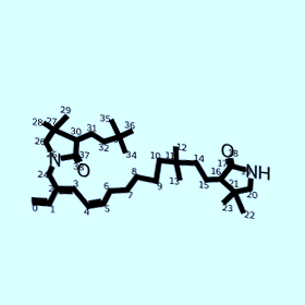 C=C/C(=C\C=C/CCCCCC(C)(C)CCC1C(=O)NCC1(C)C)CN1CC(C)(C)C(CCC(C)(C)C)C1=O